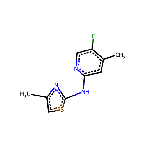 Cc1csc(Nc2cc(C)c(Cl)cn2)n1